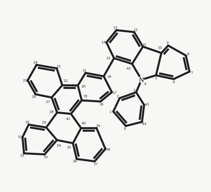 c1ccc(-n2c3ccccc3c3cccc(-c4ccc5c(c4)c4ccccc4c4c6ccccc6c6ccccc6c54)c32)cc1